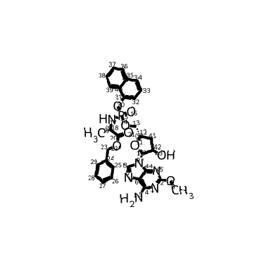 COc1nc(N)c2ncn([C@@H]3O[C@H](COP(=O)(N[C@@H](C)C(=O)OCc4ccccc4)Oc4cccc5ccccc45)CC3O)c2n1